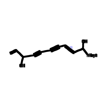 C=CC(O)C#CC#C/C=C/C(O)CCCCCCC